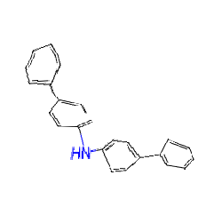 C=C(/C=C\C(=C/C)c1ccccc1)Nc1ccc(-c2ccccc2)cc1